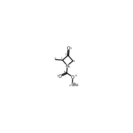 CC1C(=O)CN1C(=O)OC(C)(C)C